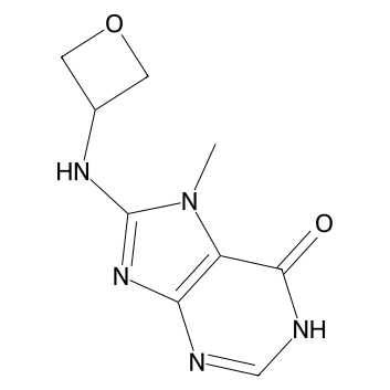 Cn1c(NC2COC2)nc2nc[nH]c(=O)c21